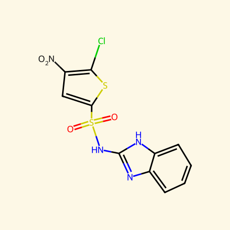 O=[N+]([O-])c1cc(S(=O)(=O)Nc2nc3ccccc3[nH]2)sc1Cl